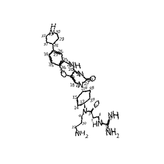 N=C(N)NCCC(=O)N(CCCN)[C@H]1CC[C@H](n2cc3c(nc2=O)Nc2cc(C4CCNCC4)ccc2O3)CC1